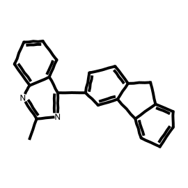 Cc1nc(-c2ccc3c(c2)-c2ccccc2C3)c2ccccc2n1